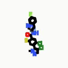 Cn1ncc(Cl)c1C1=C(Cl)C=C(C(=O)N[C@H](CN)Cc2ccc(F)cc2)C(=S)C1